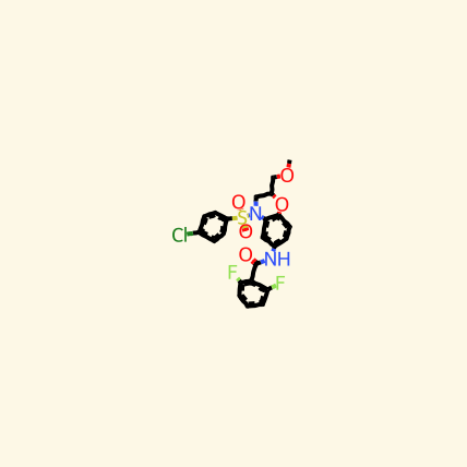 COCC1CN(S(=O)(=O)c2ccc(Cl)cc2)c2cc(NC(=O)c3c(F)cccc3F)ccc2O1